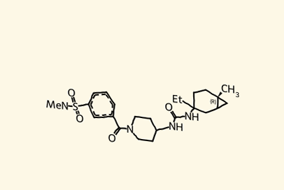 CCC1(NC(=O)NC2CCN(C(=O)c3cccc(S(=O)(=O)NC)c3)CC2)CC[C@]2(C)CC2C1